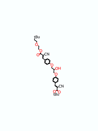 CC(C)(C)CCOCCOC(=O)/C(C#N)=C/c1ccc(OCC(O)COc2ccc(/C=C(\C#N)C(=O)OC(C)(C)C)cc2)cc1